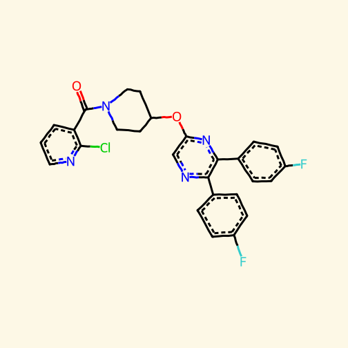 O=C(c1cccnc1Cl)N1CCC(Oc2cnc(-c3ccc(F)cc3)c(-c3ccc(F)cc3)n2)CC1